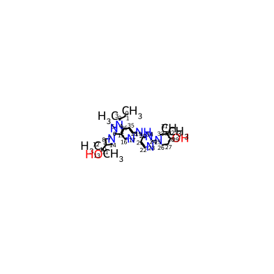 CCC(C)n1nc(N2CC(C(C)(C)O)C2)c2cnc(Nc3ccnc(N4CCC(O)C(C)(C)C4)n3)cc21